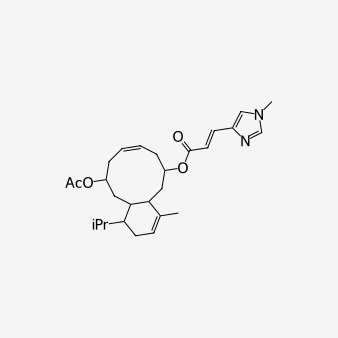 CC(=O)OC1C/C=C\CC(OC(=O)C=Cc2cn(C)cn2)CC2C(C)=CCC(C(C)C)C2C1